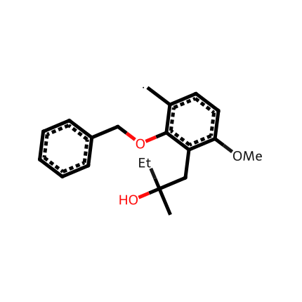 [CH2]c1ccc(OC)c(CC(C)(O)CC)c1OCc1ccccc1